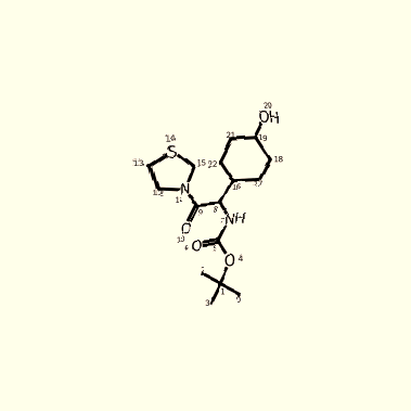 CC(C)(C)OC(=O)NC(C(=O)N1CCSC1)C1CCC(O)CC1